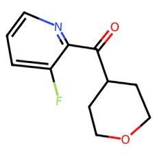 O=C(c1ncccc1F)C1CCOCC1